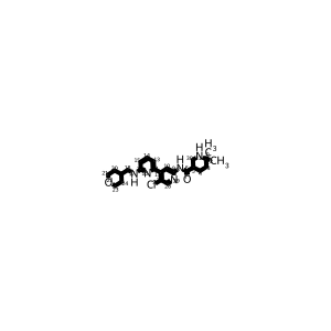 CC1(C)CCC(C(=O)Nc2cc(-c3cccc(NCC4CCOCC4)n3)c(Cl)cn2)CN1